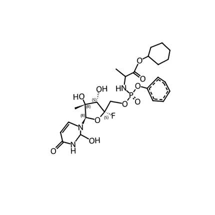 CC(NP(=O)(OC[C@@]1(F)O[C@@H](N2C=CC(=O)NC2O)[C@](C)(O)[C@@H]1O)Oc1ccccc1)C(=O)OC1CCCCC1